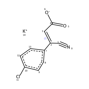 N#C/C(=C\C(=O)[O-])c1ccc(Cl)cc1.[K+]